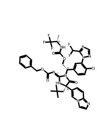 C[C@H](NC(=O)OC[C@H](c1ccc(Cl)c(-n2ncnc2C(F)F)c1)N1C(=O)[C@@](CC(C)(C)C)(c2ccc3nccn3c2)N/C1=N\C(=O)OCc1ccccc1)C(F)(F)F